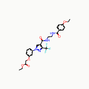 CCOC(=O)COc1cccc(-n2cc(C(=O)NCCNC(=O)c3ccc(OCC)cc3)c(C(F)(F)F)n2)c1